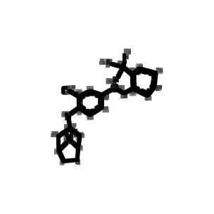 CN1C2CCC1CC(Sc1ccc(OCc3ccccc3C(F)(F)F)cc1Cl)C2